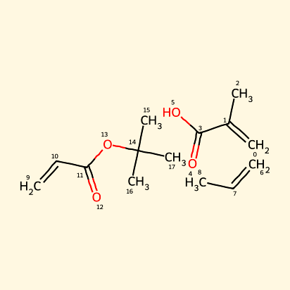 C=C(C)C(=O)O.C=CC.C=CC(=O)OC(C)(C)C